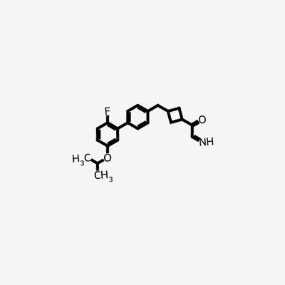 CC(C)Oc1ccc(F)c(-c2ccc(CC3CC(C(=O)C=N)C3)cc2)c1